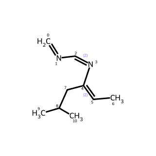 C=N/C=N\C(=C/C)CC(C)C